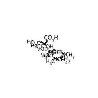 CCCCCCCCN(C)C.CCCCCCCCN(C)C.CCCCCCCCN(C)C.O=C(O)CC(O)(CC(=O)O)C(=O)O